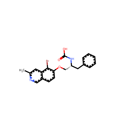 Cc1cc2c(Br)c(OC[C@@H](Cc3ccccc3)NC(=O)O)ccc2cn1